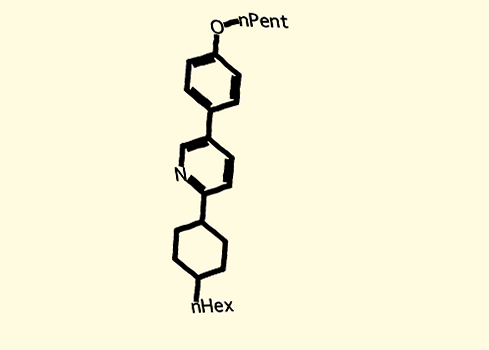 CCCCCCC1CCC(c2ccc(-c3ccc(OCCCCC)cc3)cn2)CC1